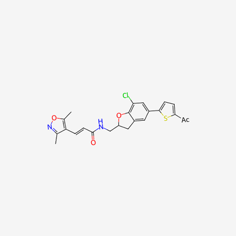 CC(=O)c1ccc(-c2cc(Cl)c3c(c2)CC(CNC(=O)C=Cc2c(C)noc2C)O3)s1